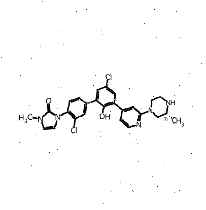 C[C@@H]1CN(c2cc(-c3cc(Cl)cc(-c4ccc(-n5ccn(C)c5=O)c(Cl)c4)c3O)ccn2)CCN1